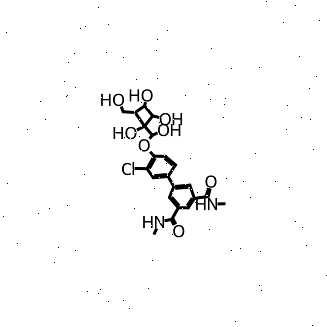 CNC(=O)c1cc(C(=O)NC)cc(-c2ccc(OC(O)C3(O)C(O)C(O)C3CO)c(Cl)c2)c1